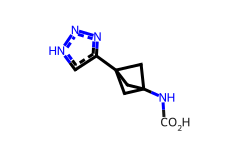 O=C(O)NC12CC(c3c[nH]nn3)(C1)C2